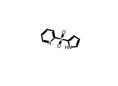 O=S(=O)(c1ccccn1)c1ccc[nH]1